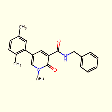 CCCCn1cc(-c2cc(C)ccc2C)cc(C(=O)NCc2ccccc2)c1=O